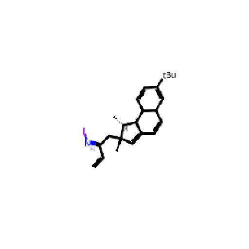 C=C/C(CC1(C)C=C2C=CC3C=C(C(C)(C)C)C=CC3C2[C@H]1C)=N/I